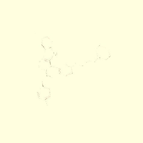 O=C(Oc1ccc(F)cc1)N1CCC2=C(NC3C=CC(Cl)=CC23)C1c1cccc(OCCCN2CCOCC2)c1